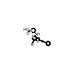 N#Cc1cnc(N[C@H]2CCCN(C(=O)O)C2)c2cc(C#Cc3ccccc3)sc12